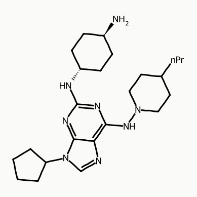 CCCC1CCN(Nc2nc(N[C@H]3CC[C@H](N)CC3)nc3c2ncn3C2CCCC2)CC1